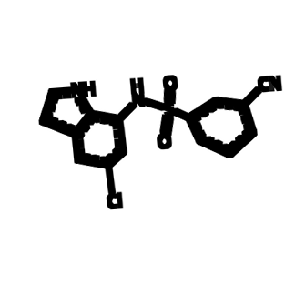 N#Cc1cccc(S(=O)(=O)Nc2cc(Cl)cc3cc[nH]c23)c1